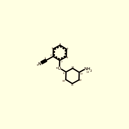 N#Cc1ccccc1OC1CCCC(N)C1